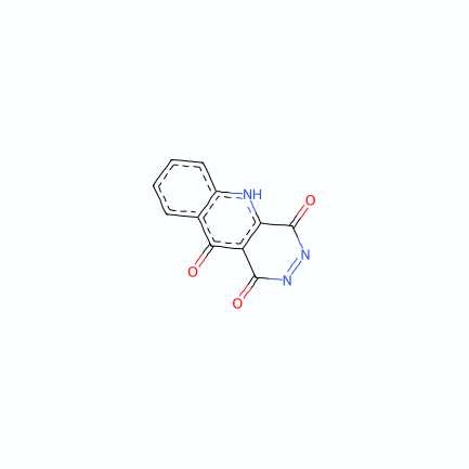 O=C1N=NC(=O)c2c1[nH]c1ccccc1c2=O